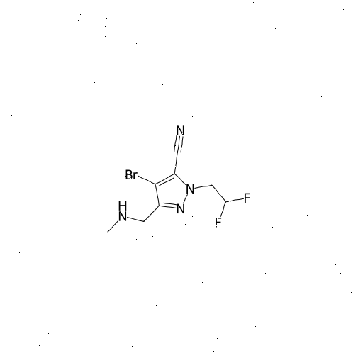 CNCc1nn(CC(F)F)c(C#N)c1Br